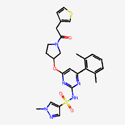 Cc1cccc(C)c1-c1cc(OC2CCN(C(=O)Cc3ccsc3)C2)nc(NS(=O)(=O)c2cnn(C)c2)n1